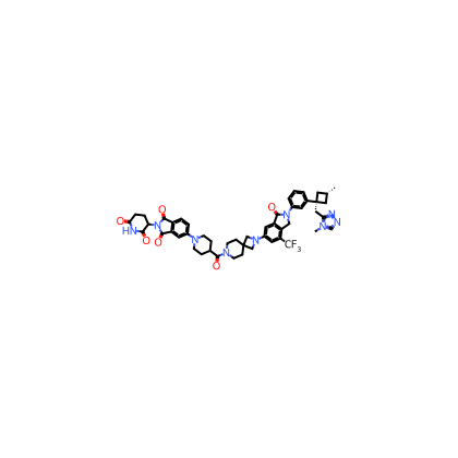 Cn1cnnc1C[C@]1(c2cccc(N3Cc4c(cc(N5CC6(CCN(C(=O)C7CCN(c8ccc9c(c8)C(=O)N(C8CCC(=O)NC8=O)C9=O)CC7)CC6)C5)cc4C(F)(F)F)C3=O)c2)C[C@H](C)C1